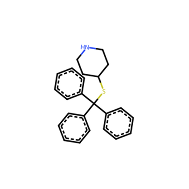 c1ccc(C(SC2CCNCC2)(c2ccccc2)c2ccccc2)cc1